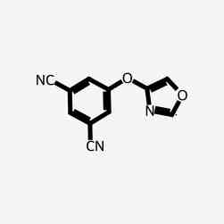 N#Cc1cc(C#N)cc(Oc2co[c]n2)c1